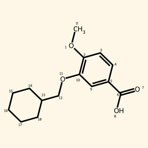 COc1ccc(C(=O)O)cc1OCC1CCCCC1